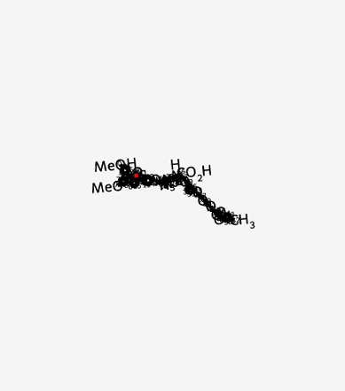 COc1ccc(C(NS(=O)(=O)c2nc3ccc(OCc4cn(CC(=O)N[C@@](C)(COCc5cccc(OCCOCCOCCOS(=O)(=O)c6ccc(C)cc6)c5)C(=O)O)nn4)cc3s2)(c2ccccc2)c2ccc(OC)cc2)cc1